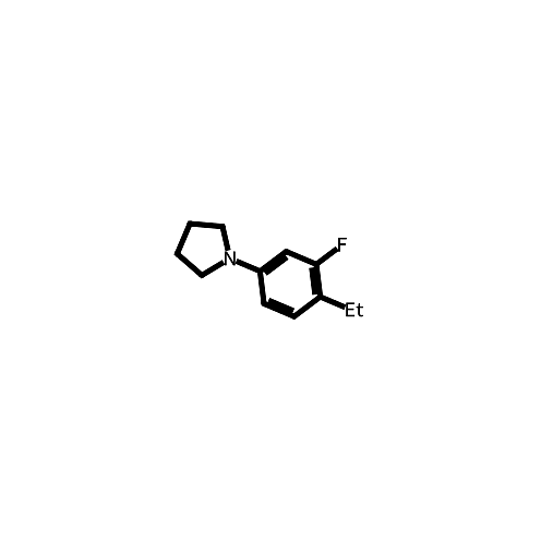 CCc1ccc(N2CCCC2)cc1F